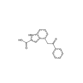 O=C(Cc1cccc2[nH]c(C(=O)O)cc12)c1ccccc1